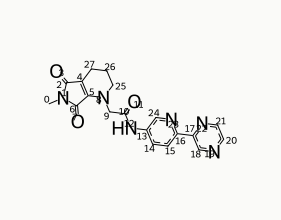 CN1C(=O)C2=C(C1=O)N(CC(=O)Nc1ccc(-c3cnccn3)nc1)CCC2